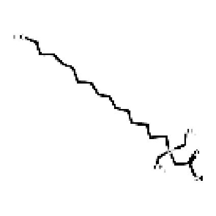 CCCCCCCCCCCCCCCC[N+](CC)(CC)CC(=O)O